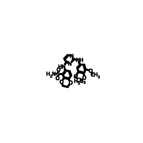 COc1cc(Nc2nccc(Nc3ccc4c(c3S(N)(=O)=O)OCCO4)n2)cc(OC)c1OC